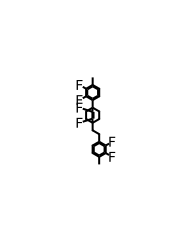 Cc1ccc(CCC23CCC(c4ccc(C)c(F)c4F)(CC2)C(F)=C3F)c(F)c1F